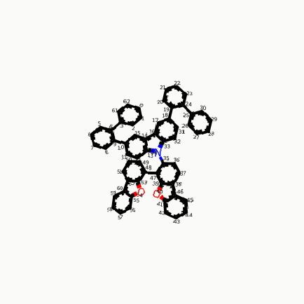 c1ccc(-c2ccccc2-c2ccc3c(c2)c2cc(-c4ccccc4-c4ccccc4)ccc2n3-c2ccc3c(oc4ccccc43)c2-c2cccc3c2oc2ccccc23)cc1